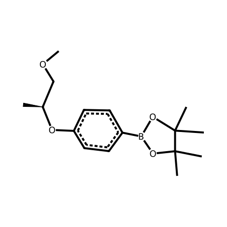 COC[C@H](C)Oc1ccc(B2OC(C)(C)C(C)(C)O2)cc1